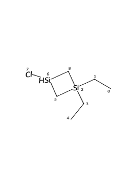 CC[Si]1(CC)C[SiH](Cl)C1